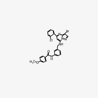 COc1ccc(C(=O)Nc2cccc(CNc3cc(-c4ccccc4Cl)nc4c(Br)cnn34)c2)cc1